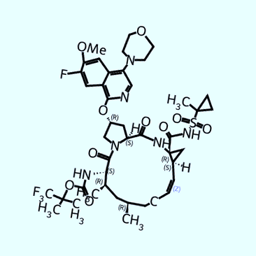 COc1cc2c(N3CCOCC3)cnc(O[C@@H]3C[C@H]4C(=O)N[C@]5(C(=O)NS(=O)(=O)C6(C)CC6)C[C@H]5/C=C\CC[C@@H](C)C[C@@H](C)[C@H](NC(=O)OC(C)(C)C(F)(F)F)C(=O)N4C3)c2cc1F